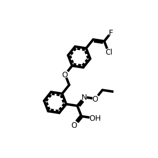 CCON=C(C(=O)O)c1ccccc1COc1ccc(C=C(F)Cl)cc1